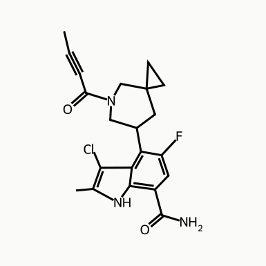 CC#CC(=O)N1CC(c2c(F)cc(C(N)=O)c3[nH]c(C)c(Cl)c23)CC2(CC2)C1